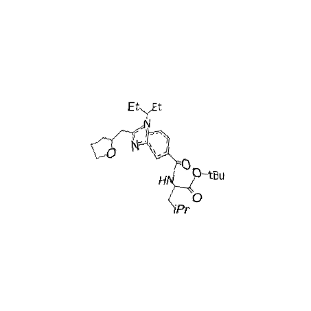 CCC(CC)n1c(CC2CCCO2)nc2cc(C(=O)NC(CC(C)C)C(=O)OC(C)(C)C)ccc21